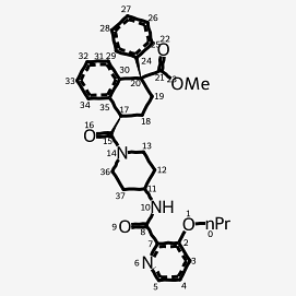 CCCOc1cccnc1C(=O)NC1CCN(C(=O)[C@@H]2CC[C@](C(=O)OC)(c3ccccc3)c3ccccc32)CC1